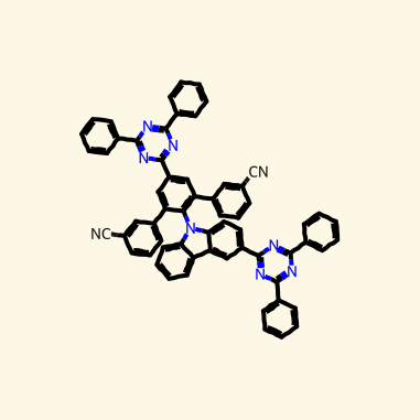 N#Cc1cccc(-c2cc(-c3nc(-c4ccccc4)nc(-c4ccccc4)n3)cc(-c3cccc(C#N)c3)c2-n2c3ccccc3c3cc(-c4nc(-c5ccccc5)nc(-c5ccccc5)n4)ccc32)c1